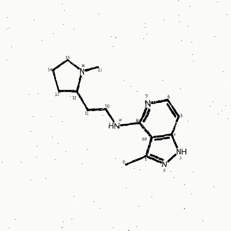 Cc1n[nH]c2ccnc(NCCC3CCCN3C)c12